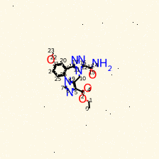 CCOC(=O)c1ncn2c1Cn1c(C(N)=O)nnc1-c1cc(OC)ccc1-2